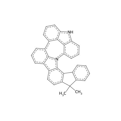 CC1(C)c2ccccc2-c2c1ccc1c3cccc4c5cccc6[nH]c7cccc(c7c65)n(c21)c43